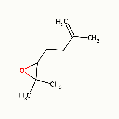 C=C(C)CCC1OC1(C)C